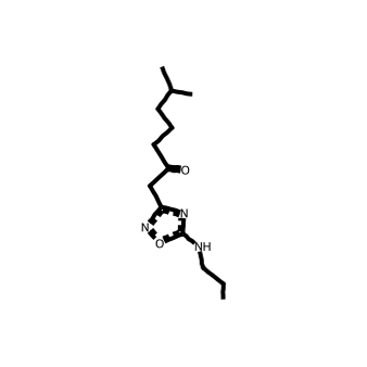 CCCNc1nc(CC(=O)CCCC(C)C)no1